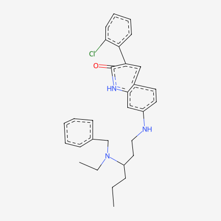 CCCC(CCNc1ccc2cc(-c3ccccc3Cl)c(=O)[nH]c2c1)N(CC)Cc1ccccc1